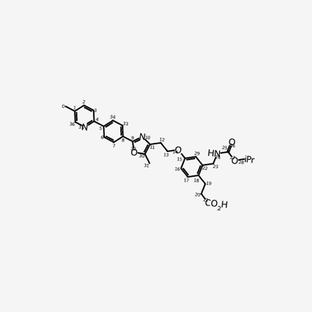 Cc1ccc(-c2ccc(-c3nc(CCOc4ccc(CCC(=O)O)c(CNC(=O)OC(C)C)c4)c(C)o3)cc2)nc1